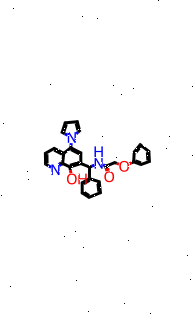 O=C(COc1ccccc1)NC(c1ccccc1)c1cc(-n2cccc2)c2cccnc2c1O